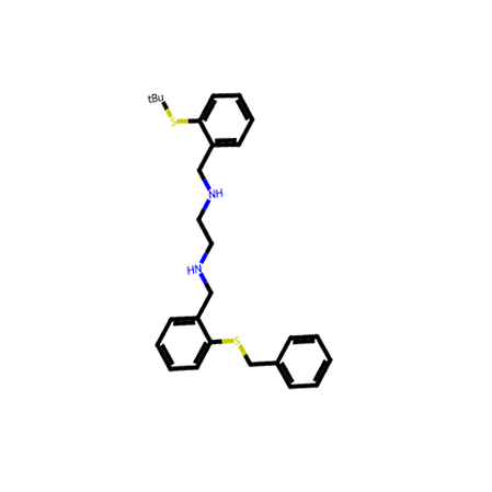 CC(C)(C)Sc1ccccc1CNCCNCc1ccccc1SCc1ccccc1